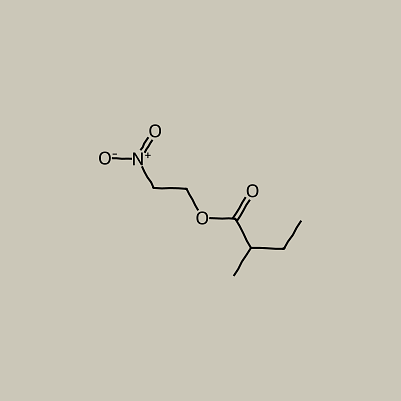 CCC(C)C(=O)OCC[N+](=O)[O-]